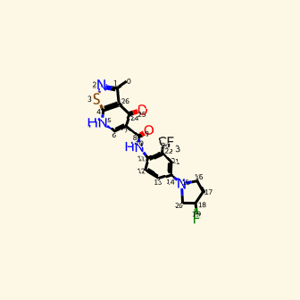 Cc1nsc2[nH]cc(C(=O)Nc3ccc(N4CCC(F)C4)cc3C(F)(F)F)c(=O)c12